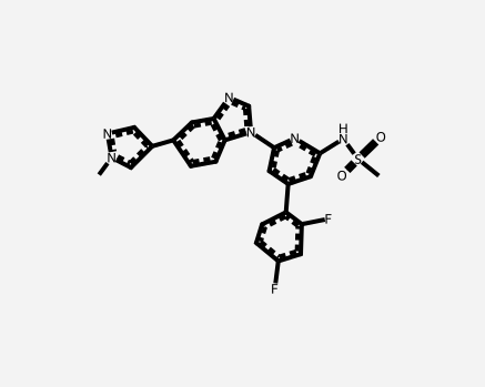 Cn1cc(-c2ccc3c(c2)ncn3-c2cc(-c3ccc(F)cc3F)cc(NS(C)(=O)=O)n2)cn1